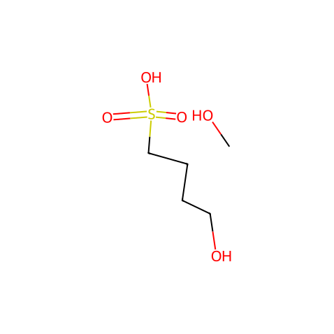 CO.O=S(=O)(O)CCCCO